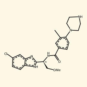 COC[C@H](NC(=O)c1ccc(N2CCNCC2)c(C)c1)c1nc2cc(Cl)ccc2[nH]1